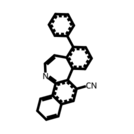 N#Cc1cc2c(c3c1-c1cccc(-c4ccccc4)c1C=CN=3)=CCC=C2